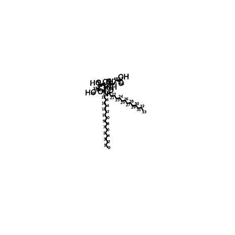 CCCCCCCCCCCCCCCCCCN(C(=O)CCCCCCCCCCCCC)[C@@H]1O[C@H](CO)[C@@H](O)[C@H](O)[C@@H]1NC(=O)CCC(=O)O